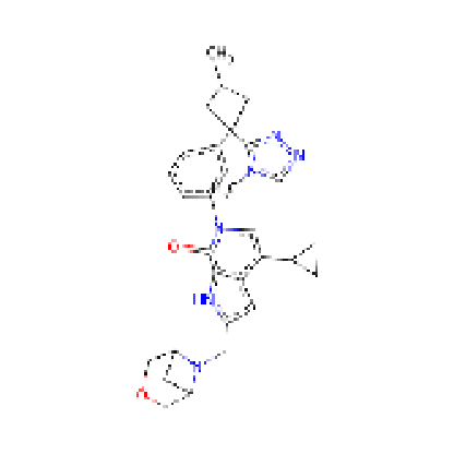 CC1CC(c2cccc(-n3cc(C4CC4)c4cc(CN5C6COCC5C6)[nH]c4c3=O)c2)(c2nncn2C)C1